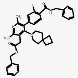 Cc1nc(C)c(-c2ccc(C(=O)NCc3ccccc3)c(F)c2)c(N2CCC3(CCC3)CC2)c1CC(=O)OCc1ccccc1